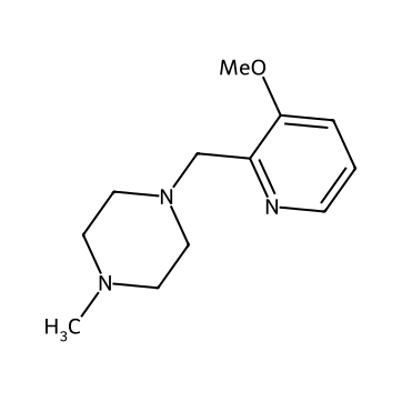 COc1cccnc1CN1CCN(C)CC1